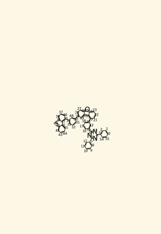 c1ccc(-c2nc(-c3ccccc3)nc(-c3cccc(-c4cccc5oc6ccc(-c7cccc(-c8cccc9sc%10ccccc%10c89)c7)cc6c45)c3)n2)cc1